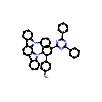 O=[N+]([O-])c1ccc(-c2cc(-c3nc(-c4ccccc4)nc(-c4ccccc4)n3)ccc2-n2c3ccccc3c3ccc4c5ccccc5n(-c5ccccc5)c4c32)cc1